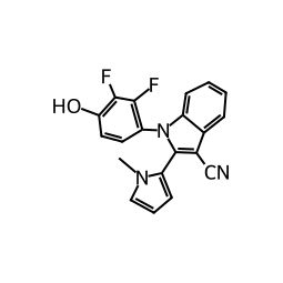 Cn1cccc1-c1c(C#N)c2ccccc2n1-c1ccc(O)c(F)c1F